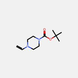 C=CN1CCN(C(=O)OC(C)(C)C)CC1